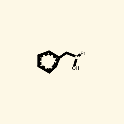 CCP(O)Cc1ccccc1